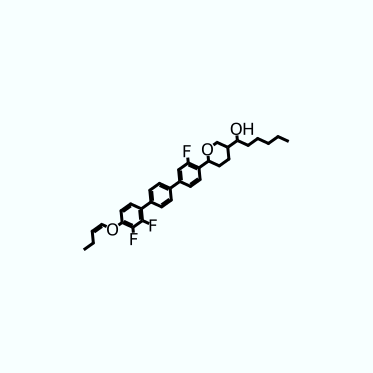 CC/C=C\Oc1ccc(-c2ccc(-c3ccc(C4CCC(C(O)CCCCC)CO4)c(F)c3)cc2)c(F)c1F